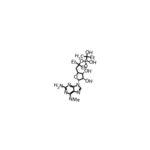 CCC(CC)(CC1O[C@@H](n2cnc3c(NC)nc(N)nc32)[C@H](O)[C@@H]1O)OP(=O)(O)C(C)(O)CC